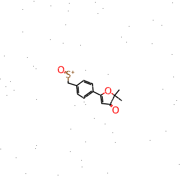 CC1(C)OC(c2ccc(C[S+]=O)cc2)=CC1=O